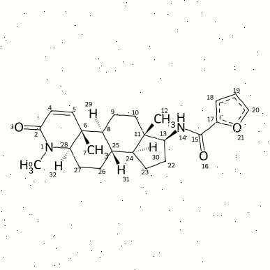 CN1C(=O)C=C[C@]2(C)[C@H]3CC[C@]4(C)[C@@H](NC(=O)c5ccco5)CC[C@H]4[C@@H]3CC[C@@H]12